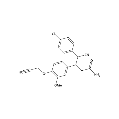 C#CCOc1ccc(C(CC(N)=O)C(C#N)c2ccc(Cl)cc2)cc1OC